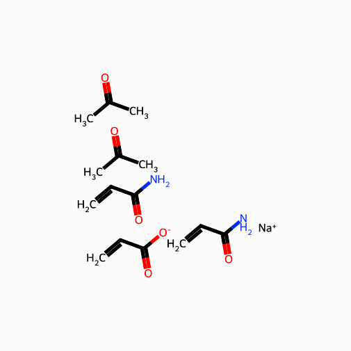 C=CC(=O)[O-].C=CC(N)=O.C=CC(N)=O.CC(C)=O.CC(C)=O.[Na+]